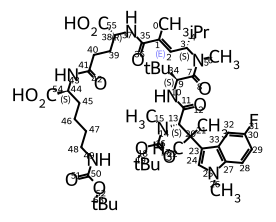 C/C(=C\[C@H](C(C)C)N(C)C(=O)[C@@H](NC(=O)[C@@H](N(C)C(=O)OC(C)(C)C)C(C)(C)c1cn(C)c2ccc(F)cc12)C(C)(C)C)C(=O)N[C@H](CCC(=O)N[C@@H](CCCCNC(=O)OC(C)(C)C)C(=O)O)C(=O)O